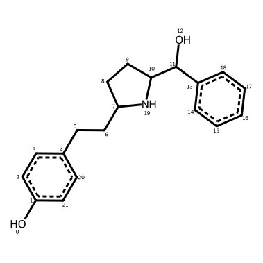 Oc1ccc(CCC2CCC(C(O)c3ccccc3)N2)cc1